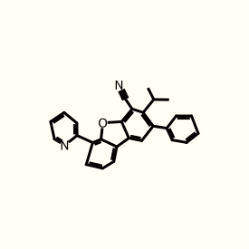 CC(C)c1c(-c2ccccc2)cc2c(oc3c(-c4ccccn4)cccc32)c1C#N